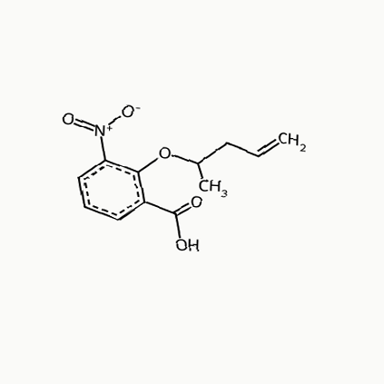 C=CCC(C)Oc1c(C(=O)O)cccc1[N+](=O)[O-]